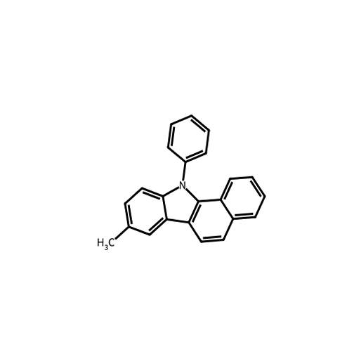 Cc1ccc2c(c1)c1ccc3ccccc3c1n2-c1ccccc1